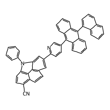 N#Cc1ccc2c3c1ccc1cc(-c4ccc(-c5c6ccccc6c(-c6cccc7ccccc67)c6ccccc56)cn4)cc(c13)n2-c1ccccc1